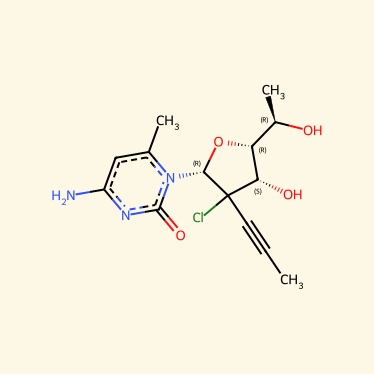 CC#CC1(Cl)[C@@H](O)[C@@H]([C@@H](C)O)O[C@H]1n1c(C)cc(N)nc1=O